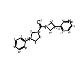 O=C(C1CCN(c2ccccc2)C1)N1CC(c2cccnc2)C1